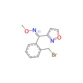 CO/N=C(/c1ccon1)c1ccccc1CBr